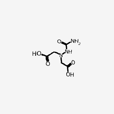 NC(=O)NN(CC(=O)O)CC(=O)O